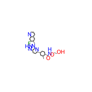 Cc1cc(-c2ccc3c(n2)N(Cc2cc4cccnc4cc2F)NN3C)ccc1C(=O)NOCCO